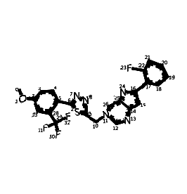 COc1ccc(-c2nnc(Cn3cnc4cc(-c5ccccc5F)nc-4c3)s2)c(C(F)(F)F)c1